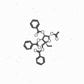 CC[C@]1(COC(=O)c2ccccc2)O[C@@H](OC(C)=O)[C@H](OC(=O)c2ccccc2)[C@@H]1OC(=O)c1ccccc1